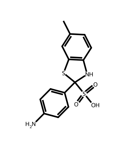 Cc1ccc2c(c1)SC(c1ccc(N)cc1)(S(=O)(=O)O)N2